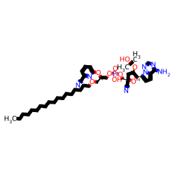 CCCCCCCCCCCCCCCCCCOC[C@H](COP(=O)(O)OC[C@]1(C#N)C[C@@H](OC(C)(C)O)[C@H](c2ccc3c(N)ncnn23)O1)Oc1cccc(C#N)n1